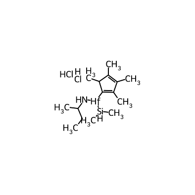 CCC(C)[NH][Hf]([C]1=C(C)C(C)=C(C)C1C)[SiH](C)C.Cl.Cl